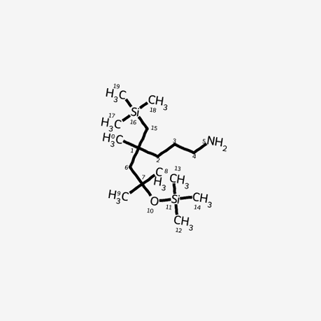 CC(CCCN)(CC(C)(C)O[Si](C)(C)C)C[Si](C)(C)C